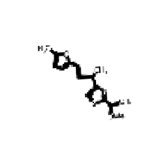 COC(C)c1nc(C(C)CCc2ccc(C)o2)cs1